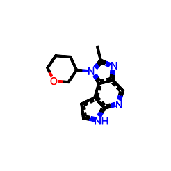 Cc1nc2cnc3[nH]ccc3c2n1C1CCCOC1